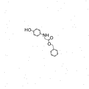 O=C(CNc1ccc(O)cc1)OCc1ccccc1